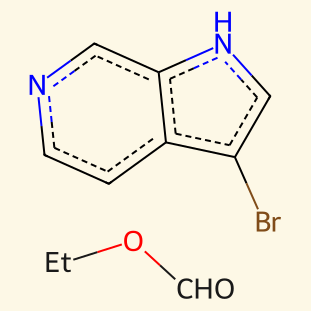 Brc1c[nH]c2cnccc12.CCOC=O